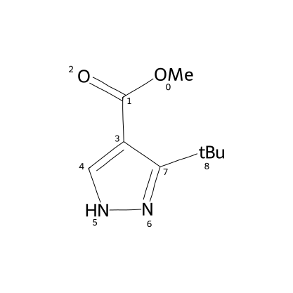 COC(=O)c1c[nH]nc1C(C)(C)C